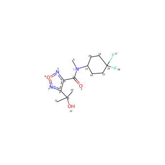 CN(C(=O)c1nonc1C(C)(C)O)C1CCC(F)(F)CC1